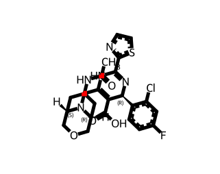 CC(=O)NC1C[C@H]2COC[C@@H](C1)N2CC1=C(C(=O)O)[C@H](c2ccc(F)cc2Cl)N=C(c2nccs2)N1